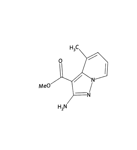 COC(=O)c1c(N)nn2cccc(C)c12